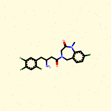 CN1C(=O)CN(C(=O)CC(N)Cc2cc(F)c(F)cc2F)Cc2ccc(F)cc21